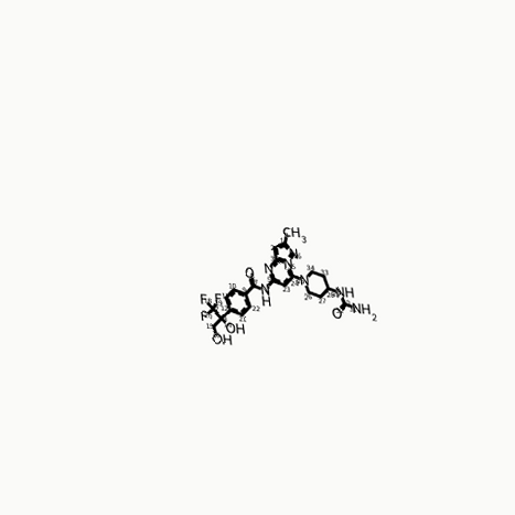 Cc1cc2nc(NC(=O)c3ccc(C(O)(CO)C(F)(F)F)cc3)cc(N3CCC(NC(N)=O)CC3)n2n1